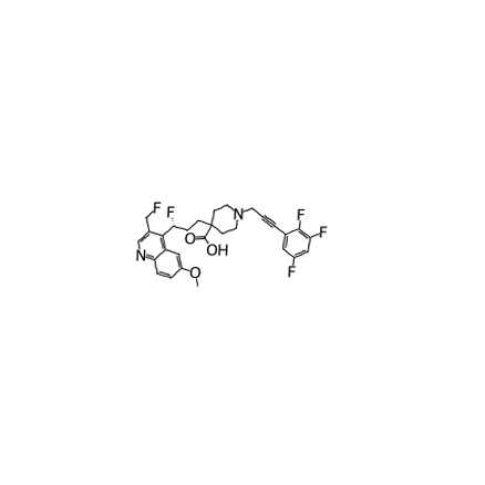 COc1ccc2ncc(CF)c([C@H](F)CCC3(C(=O)O)CCN(CC#Cc4cc(F)cc(F)c4F)CC3)c2c1